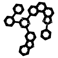 c1ccc(-c2ccccc2-c2nc(-c3ccc4sc5ccccc5c4c3)nc(-c3ccc4ccc5ccc6nn(-c7ccccc7)nc6c5c4c3)n2)cc1